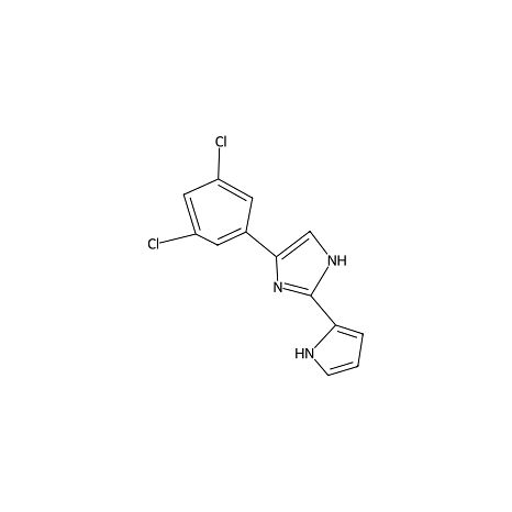 Clc1cc(Cl)cc(-c2c[nH]c(-c3ccc[nH]3)n2)c1